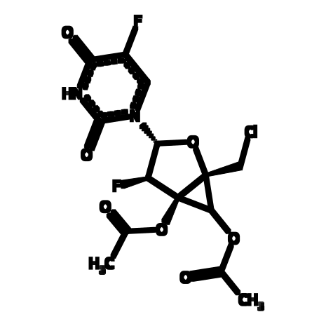 CC(=O)OC1[C@@]2(CCl)O[C@@H](n3cc(F)c(=O)[nH]c3=O)[C@H](F)[C@@]12OC(C)=O